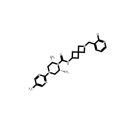 C[C@@H]1CN(c2ncc(C(F)(F)F)cn2)C[C@H](C)N1C(=O)NC1CC2(C1)CN(Cc1cccnc1Cl)C2